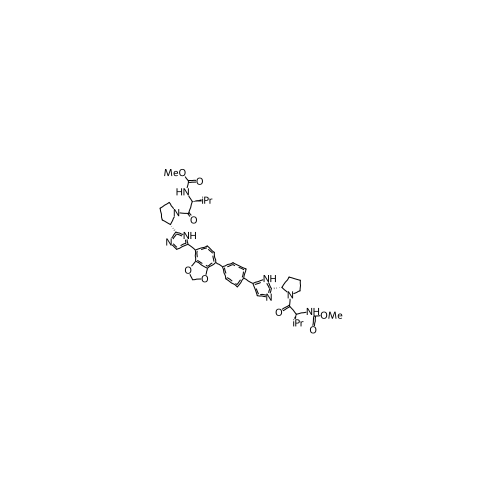 COC(=O)N[C@H](C(=O)N1CCC[C@H]1c1ncc(-c2ccc(-c3ccc(-c4cnc([C@@H]5CCCN5C(=O)[C@@H](NC(=O)OC)C(C)C)[nH]4)c4c3OCO4)cc2)[nH]1)C(C)C